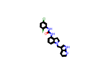 O=C(Nc1cc(Cl)ccc1F)Nc1cccc2c1CCN2Cc1c[nH]c2ncccc12